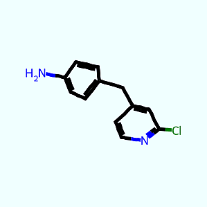 Nc1ccc(Cc2ccnc(Cl)c2)cc1